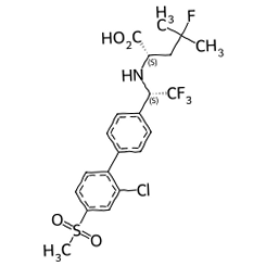 CC(C)(F)C[C@H](N[C@@H](c1ccc(-c2ccc(S(C)(=O)=O)cc2Cl)cc1)C(F)(F)F)C(=O)O